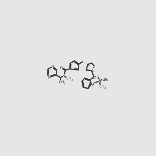 CC(c1cnccn1)N(C)C(=O)c1ccc(C[C@@H]2CC[C@H]([C@H](O[Si](C)(C)C(C)(C)C)c3ccccc3)C2)cc1